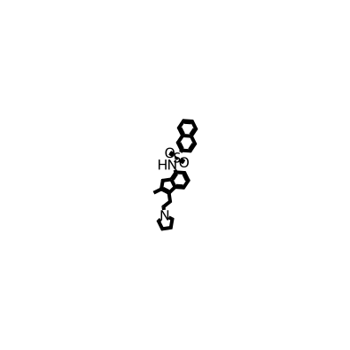 CC1=C(CCN2CCCC2)c2cccc(NS(=O)(=O)c3ccc4ccccc4c3)c2C1